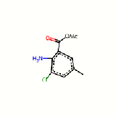 COC(=O)c1cc(C)cc(Cl)c1N